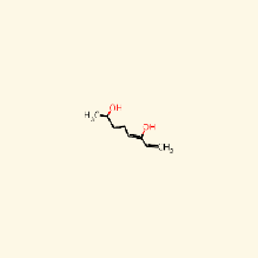 C=CC(O)=CCCC(C)O